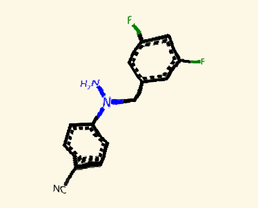 N#Cc1ccc(N(N)Cc2cc(F)cc(F)c2)cc1